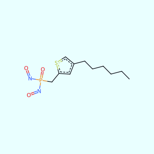 CCCCCCc1csc(CP(=O)(N=O)N=O)c1